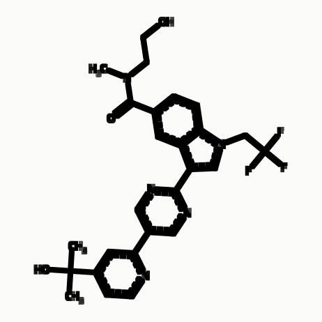 CN(CCO)C(=O)c1ccc2c(c1)c(-c1ncc(-c3cc(C(C)(C)O)ccn3)cn1)cn2CC(F)(F)F